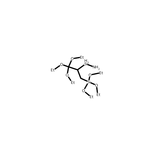 CCOC(OCC)(OCC)C(C[Si](OCC)(OCC)OCC)[SiH2]N